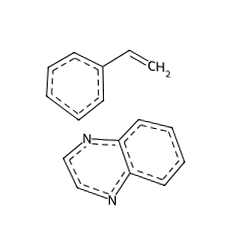 C=Cc1ccccc1.c1ccc2nccnc2c1